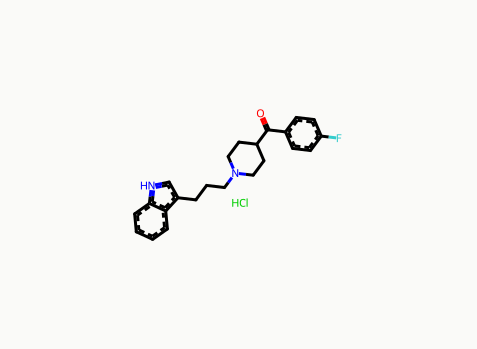 Cl.O=C(c1ccc(F)cc1)C1CCN(CCCc2c[nH]c3ccccc23)CC1